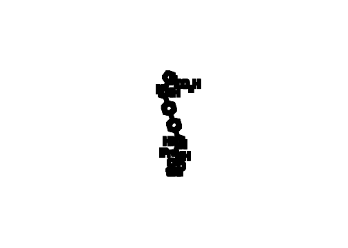 CC(C)[C@H](NC(=O)OC(C)(C)C)c1ncc(-c2ccc(-c3ccc(-c4cnc(C5CCCN5C(=O)O)[nH]4)cc3)cc2)[nH]1